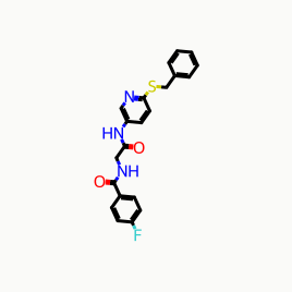 O=C(CNC(=O)c1ccc(F)cc1)Nc1ccc(SCc2ccccc2)nc1